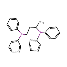 CC(CCP(c1ccccc1)c1ccccc1)P(c1ccccc1)c1ccccc1